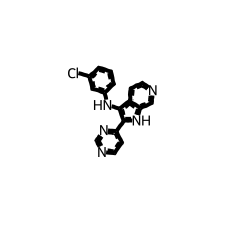 Clc1cccc(Nc2c(-c3ccncn3)[nH]c3cnccc23)c1